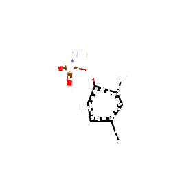 CCOC(=O)c1cc(C)ccc1OS(N)(=O)=O.[LiH]